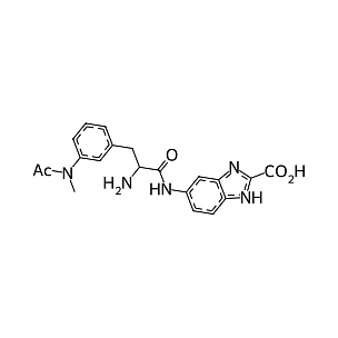 CC(=O)N(C)c1cccc(CC(N)C(=O)Nc2ccc3[nH]c(C(=O)O)nc3c2)c1